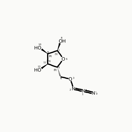 [N-]=[N+]=NOC[C@H]1O[C@H](O)[C@H](O)[C@@H]1O